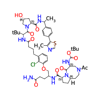 CC(=O)N1CC[C@H]2CC[C@@H](C(=O)NC(CCC(N)=O)COc3cccc(CCCC(=O)NC(C(=O)N4C[C@H](O)C[C@H]4C(=O)NC(C)c4ccc(-c5scnc5C)cc4)C(C)(C)C)c3Cl)N2C(=O)[C@@H](NC(=O)OC(C)(C)C)C1